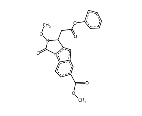 COC(=O)c1ccc2c(c1)cc1n2C(=O)N(OC)C1CC(=O)Oc1ccccc1